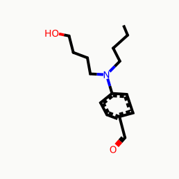 CCCCN(CCCCO)c1ccc(C=O)cc1